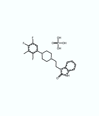 Cc1c(F)c(F)cc(N2CCN(CCn3c(=O)[nH]c4ccccc43)CC2)c1F.O=P(O)(O)O